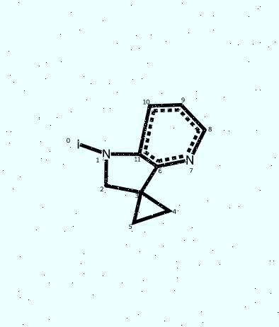 IN1CC2(CC2)c2ncccc21